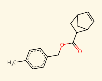 Cc1ccc(COC(=O)C2CC3C=CC2C3)cc1